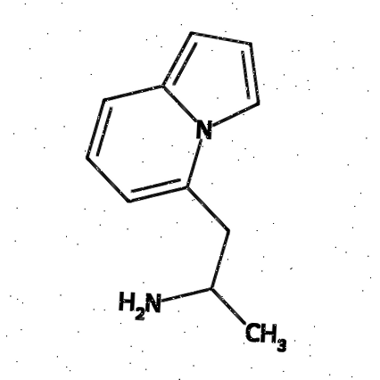 CC(N)Cc1cccc2cccn12